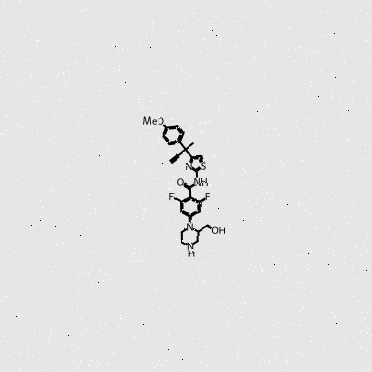 C#CC(C)(c1ccc(OC)cc1)c1csc(NC(=O)c2c(F)cc(N3CCNCC3CO)cc2F)n1